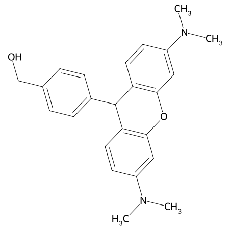 CN(C)c1ccc2c(c1)Oc1cc(N(C)C)ccc1C2c1ccc(CO)cc1